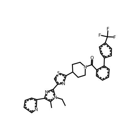 CCn1c(-c2csc(C3CCN(C(=O)c4ccccc4-c4ccc(C(F)(F)F)cc4)CC3)n2)nc(-c2ccccn2)c1C